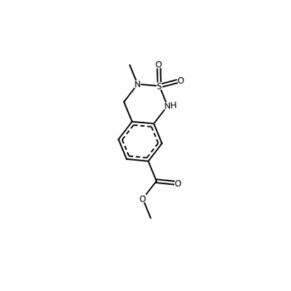 COC(=O)c1ccc2c(c1)NS(=O)(=O)N(C)C2